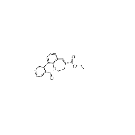 CCOC(=O)C1=Cc2cccc(-c3ccccc3C=O)c2OCC1